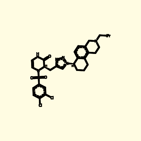 CC(C)CN1CCc2c(ccc3c2CCC[C@H]3n2cc(C[C@@H]3C(=O)NC=CN3S(=O)(=O)c3ccc(Cl)c(Cl)c3)nn2)C1